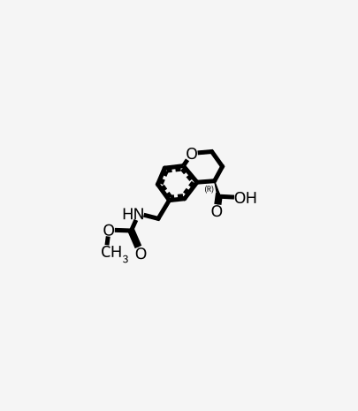 COC(=O)NCc1ccc2c(c1)[C@H](C(=O)O)CCO2